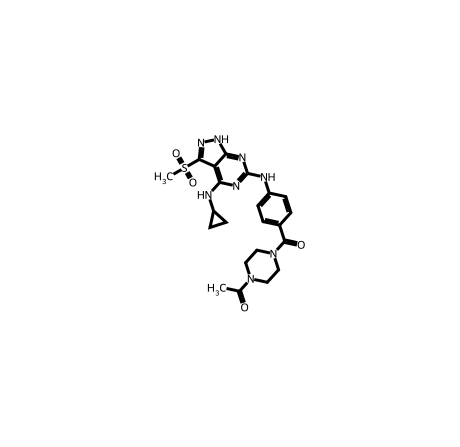 CC(=O)N1CCN(C(=O)c2ccc(Nc3nc(NC4CC4)c4c(S(C)(=O)=O)n[nH]c4n3)cc2)CC1